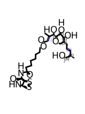 C/C(=C\C(=O)OCCCCCCCC(=O)Nc1c2sscc-2[nH]c1=O)C(O)[C@@H]1OC[C@H](C/C=C/[C@@H](C)[C@H](C)O)[C@@H](O)[C@H]1O